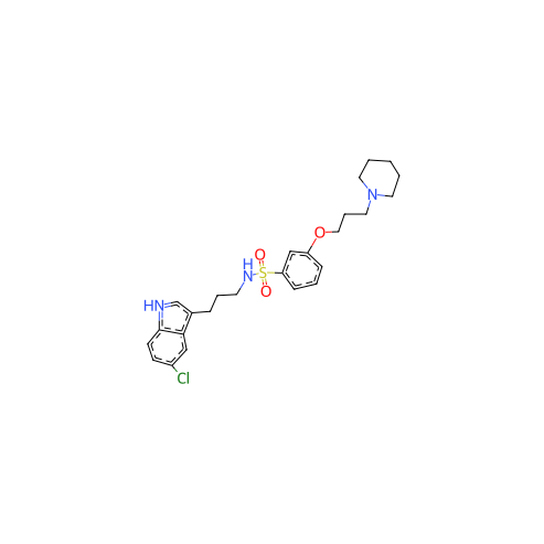 O=S(=O)(NCCCc1c[nH]c2ccc(Cl)cc12)c1cccc(OCCCN2CCCCC2)c1